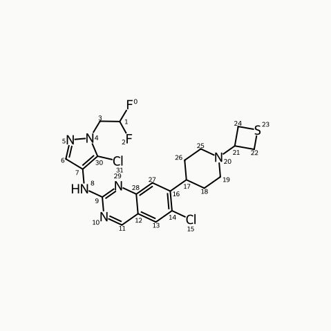 FC(F)Cn1ncc(Nc2ncc3cc(Cl)c(C4CCN(C5CSC5)CC4)cc3n2)c1Cl